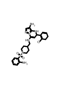 Bc1cnn2c1NC(C1=C(Cl)CCC=C1)C=C2NCC1CCN(S(=O)(=O)c2ccccc2N)CC1